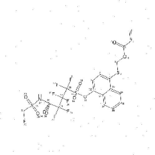 C=CC(=O)OCSc1ccc(OS(=O)(=O)C(F)(F)C(F)(F)C(F)(F)S(=O)(=O)NS(=O)(=O)CF)c2ccccc12